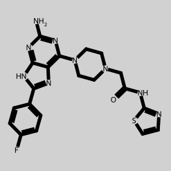 Nc1nc(N2CCN(CC(=O)Nc3nccs3)CC2)c2nc(-c3ccc(F)cc3)[nH]c2n1